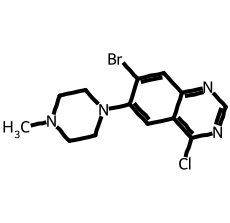 CN1CCN(c2cc3c(Cl)ncnc3cc2Br)CC1